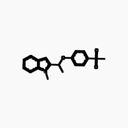 CC(Oc1ccc(S(C)(=O)=O)cc1)c1cc2ccccc2n1C